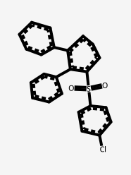 O=S(=O)(c1ccc(Cl)cc1)c1cccc(-c2ccccc2)c1-c1ccccc1